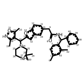 Cc1ccc(C(NC(=O)Cc2ccc3oc(C(c4c(C)noc4C)N4CCNC(C)(C)C4)cc3c2)c2ccccc2)c(C)c1